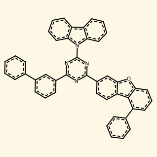 c1ccc(-c2cccc(-c3nc(-c4ccc5c(c4)oc4cccc(-c6ccccc6)c45)nc(-n4c5ccccc5c5ccccc54)n3)c2)cc1